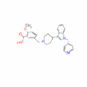 COc1ccc(CN2CCC(c3cn(Cc4ccncc4)c4ccccc34)CC2)cc1C(=O)O